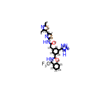 Cc1nc(C)c(-c2csc(NC(=O)Cc3cc(C(=O)N[C@H](c4ccccc4)C(F)(F)F)cc(-c4nnn[nH]4)c3)n2)s1